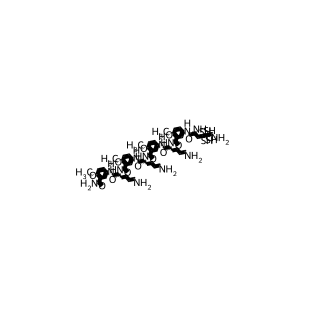 COc1ccc(NC(=O)[C@H](CCCCN)NC(=O)c2cc(NC(=O)[C@H](CCCCN)NC(=O)c3cc(NC(=O)[C@H](CCCCN)NC(=O)c4cc(NC(=O)[C@@H](N)CC(S)(S)C(S)(S)CN)ccc4OC)ccc3OC)ccc2OC)cc1C(N)=O